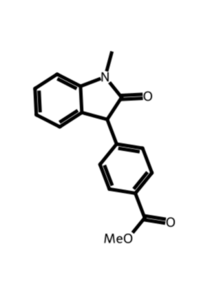 COC(=O)c1ccc(C2C(=O)N(C)c3ccccc32)cc1